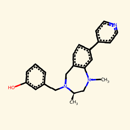 C[C@@H]1CN(C)c2cc(-c3ccncc3)ccc2CN1Cc1cccc(O)c1